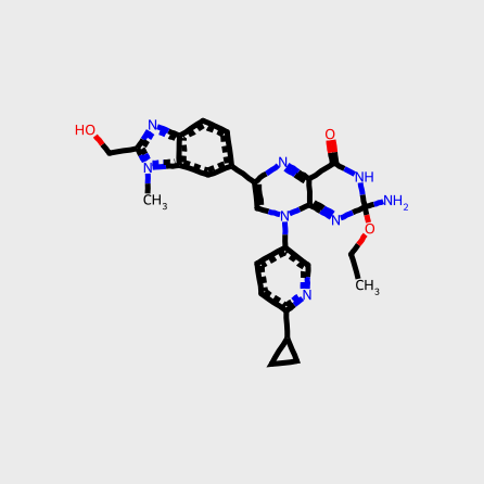 CCOC1(N)N=C2C(=NC(c3ccc4nc(CO)n(C)c4c3)=CN2c2ccc(C3CC3)nc2)C(=O)N1